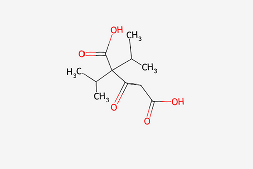 CC(C)C(C(=O)O)(C(=O)CC(=O)O)C(C)C